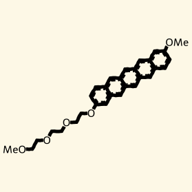 COCCOCCOCCOc1ccc2cc3cc4cc5cc(OC)ccc5cc4cc3cc2c1